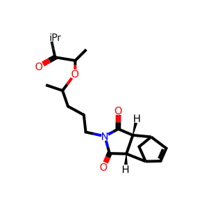 CC(CCCN1C(=O)[C@@H]2C3C=CC(C3)[C@@H]2C1=O)OC(C)C(=O)C(C)C